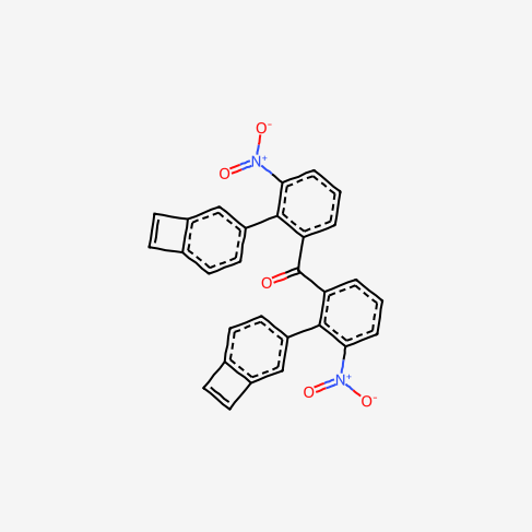 O=C(c1cccc([N+](=O)[O-])c1-c1ccc2c(c1)C=C2)c1cccc([N+](=O)[O-])c1-c1ccc2c(c1)C=C2